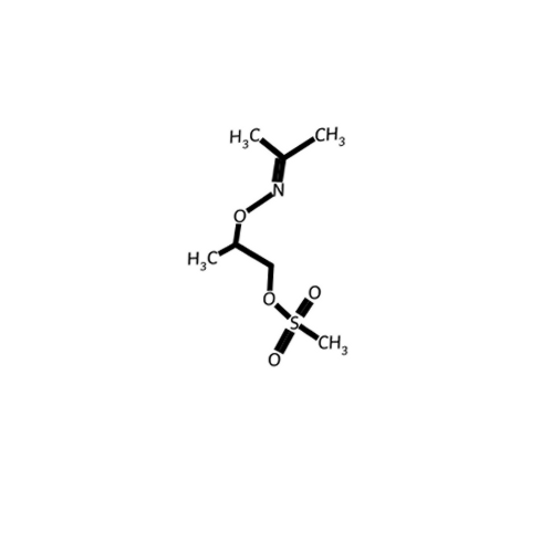 CC(C)=NOC(C)COS(C)(=O)=O